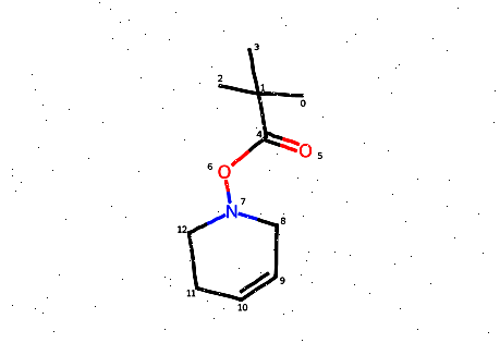 CC(C)(C)C(=O)ON1CC=CCC1